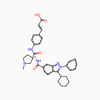 CN1CC[C@@](NC(=O)c2ccc3c(C4CCCCC4)n(-c4ccccc4)nc3c2)(C(=O)Nc2ccc(/C=C/C(=O)O)cc2)C1